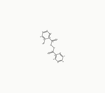 O=C(CCC(=O)c1ncccc1F)c1ccccc1